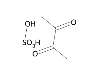 CC(=O)C(C)=O.O=S(=O)(O)O